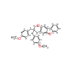 COc1ccc(CC2(Cc3ccc(OC)cc3)COc3cc4c(cc3C2)oc2ccccc24)cc1